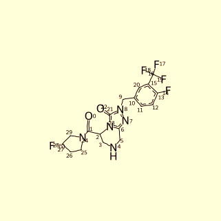 O=C(C1CNCc2nn(Cc3ccc(F)c(C(F)(F)F)c3)c(=O)n21)N1CC[C@H](F)C1